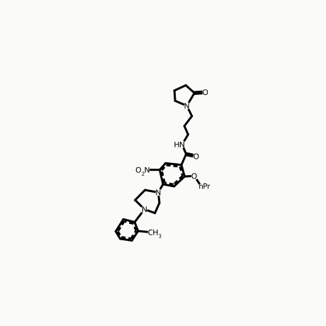 CCCOc1cc(N2CCN(c3ccccc3C)CC2)c([N+](=O)[O-])cc1C(=O)NCCCN1CCCC1=O